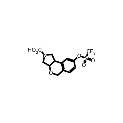 O=C(O)N1CC2OCc3ccc(OS(=O)(=O)C(F)(F)F)cc3C2C1